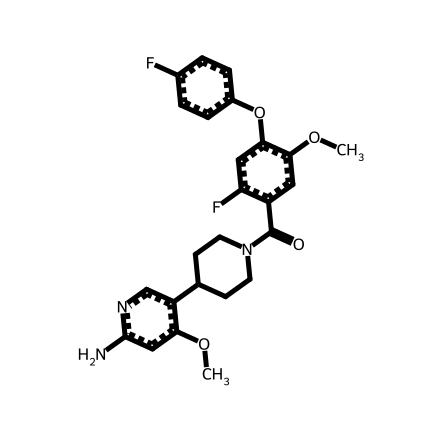 COc1cc(C(=O)N2CCC(c3cnc(N)cc3OC)CC2)c(F)cc1Oc1ccc(F)cc1